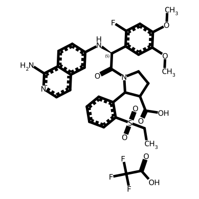 CCS(=O)(=O)c1ccccc1C1C(C(=O)O)CCN1C(=O)[C@@H](Nc1ccc2c(N)nccc2c1)c1cc(OC)c(OC)cc1F.O=C(O)C(F)(F)F